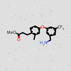 COC(=O)CCc1ccc(Oc2cc(CN)cc(C(F)(F)F)c2)cc1C